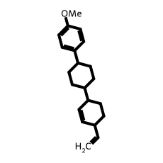 C=CC1C=CC(C2CCC(c3ccc(OC)cc3)CC2)CC1